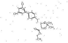 CCOC(=O)[C@H]1OC(C)(C)O[C@H]1CCc1ccc(-c2cc(Cl)cc(Cl)c2)cc1